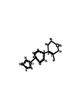 CC1=C(c2ccc(-n3ccnc3)cc2)CCOC1